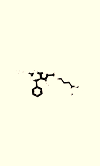 CCOC(CCCNC(=O)c1sc2nc(SC)nc(-c3ccccc3)c2c1N)OCC